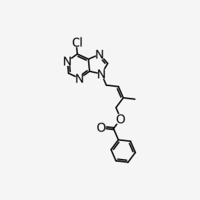 CC(=CCn1cnc2c(Cl)ncnc21)COC(=O)c1ccccc1